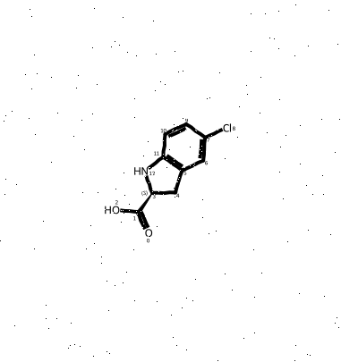 O=C(O)[C@@H]1Cc2cc(Cl)ccc2N1